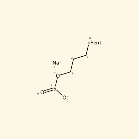 CCCCCCCCOS(=O)[O-].[Na+]